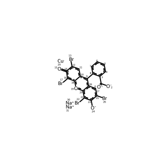 O=C([O-])c1ccccc1-c1c2cc(Br)c(=O)c(Br)c-2oc2c(Br)c([O-])c(Br)cc12.[Cu].[Na+].[Na+]